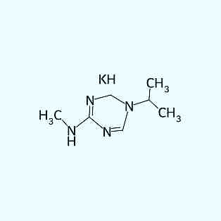 CNC1=NCN(C(C)C)C=N1.[KH]